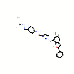 Cc1cc(C(=O)Nc2ccc(CNC(C)C)cc2)nn1Cc1cc(Cl)cc2cc(-c3ccccc3)oc12